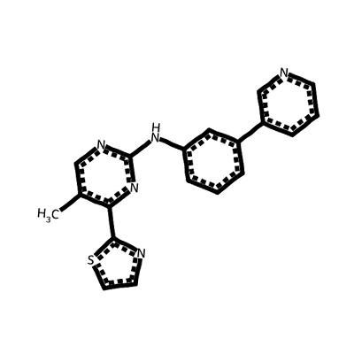 Cc1cnc(Nc2cccc(-c3cccnc3)c2)nc1-c1nccs1